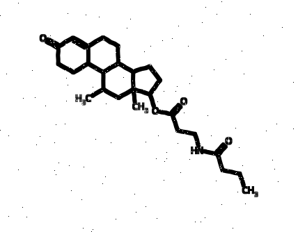 CCCC(=O)NCCC(=O)OC1CCC2C3CCC4=CC(=O)CCC4C3C(C)CC12C